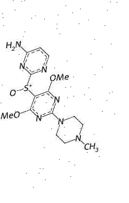 COc1nc(N2CCN(C)CC2)nc(OC)c1[S+]([O-])c1nccc(N)n1